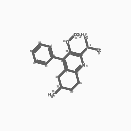 CCN(CC)c1nc2c(c(-c3ccccc3)c1OC(=O)O)CC(C)CC2